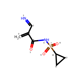 C=C(C=N)C(=O)NS(=O)(=O)C1CC1